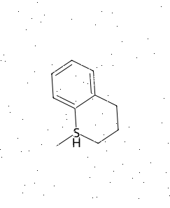 C[SH]1CCCc2ccccc21